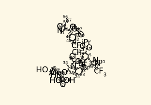 CC(C)OC(=O)c1cc(-c2nn(C)c(C(F)(F)F)c2Br)c(F)cc1Cl.CCc1cccc(C)c1N(C(=O)CCl)C(C)COC.CS(=O)(=O)c1cc(C(F)(F)F)ccc1C(=O)c1cnoc1C1CC1.O=C(O)CNCP(=O)(O)O